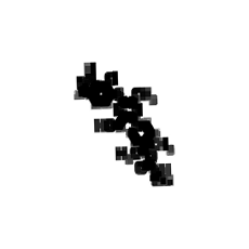 Cc1nc(N2CCC(C)(C(C)OC(=O)NC(C)(C)C)CC2)c(CO)nc1Sc1ccc2cn[nH]c2c1Cl